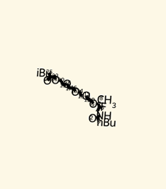 CCCCC(=O)NCC(F)C(C)OCCOCCOCCOCCOCC(=O)C(C)CC